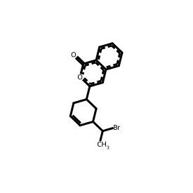 CC(Br)C1C=CCC(c2cc3ccccc3c(=O)o2)C1